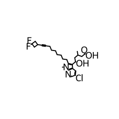 CC(CC(=O)O)CC(O)c1c(CCCCCCCC#CC2CC(F)(F)C2)n(C)c2ncc(Cl)cc12